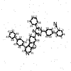 N#Cc1ccccc1-c1ccc(-c2nc(-c3ccccc3)nc(-c3ccc4c(c3)oc3cncc(-c5ccc(-c6ccccc6)cc5)c34)n2)cc1